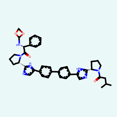 CC(C)CC(=O)N1CCC[C@H]1c1ncc(-c2ccc(-c3ccc(-c4cnc([C@@H]5CCCN5C(=O)[C@H](NC5OCO5)c5ccccc5)[nH]4)cc3)cc2)[nH]1